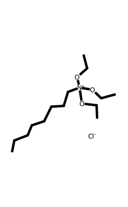 CCCCCCCC[N+](OCC)(OCC)OCC.[Cl-]